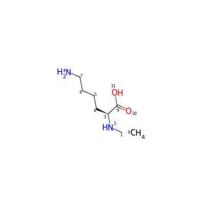 C.CN[C@@H](CCCCN)C(=O)O